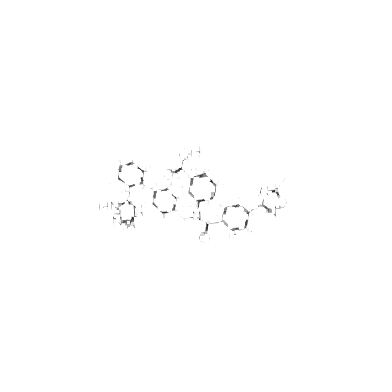 Cc1nc(-c2ccc(C(=O)N(Cc3ccc(-c4ccccc4-c4nnn[nH]4)cc3)c3cccc(C(=O)O)c3)cc2)no1